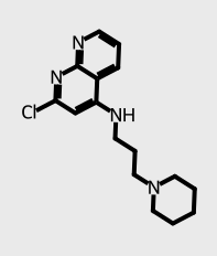 Clc1cc(NCCCN2CCCCC2)c2cccnc2n1